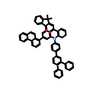 CC1(C)c2ccccc2-c2ccc(C3=C(N(c4ccc(-c5ccc(-c6ccccc6)c(-c6ccccc6)c5)cc4)c4cccc(-c5cccc6c5ccc5ccccc56)c4)CCC=C3)cc21